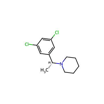 C[C@H](c1cc(Cl)cc(Cl)c1)N1CCCCC1